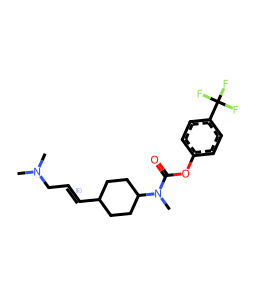 CN(C)C/C=C/C1CCC(N(C)C(=O)Oc2ccc(C(F)(F)F)cc2)CC1